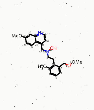 COOCc1cccc(C)c1CCN(O)Cc1ccnc2cc(OC)ccc12